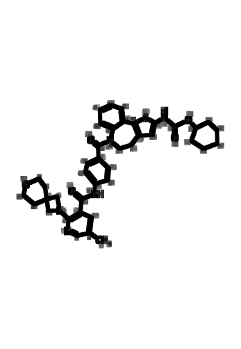 Cc1cnc(N2CC3(CCOCC3)C2)c(C(=O)Nc2ccc(C(=O)N3CCc4cc(NC(=O)OC5CCCCC5)sc4-c4ccccc43)cc2)c1